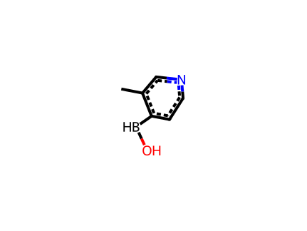 Cc1cnccc1BO